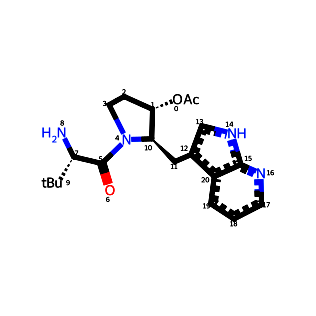 CC(=O)O[C@H]1CCN(C(=O)[C@@H](N)C(C)(C)C)[C@@H]1Cc1c[nH]c2ncccc12